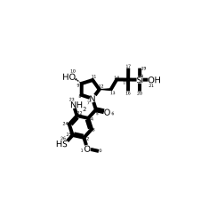 COc1cc(C(=O)N2C[C@H](O)C[C@H]2CCC(C)(C)[Si](C)(C)O)c(N)cc1S